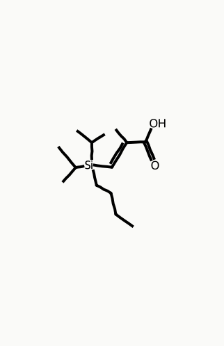 CCCC[Si](C=C(C)C(=O)O)(C(C)C)C(C)C